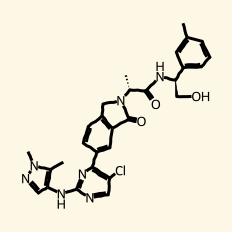 Cc1cccc([C@@H](CO)NC(=O)[C@@H](C)N2Cc3ccc(-c4nc(Nc5cnn(C)c5C)ncc4Cl)cc3C2=O)c1